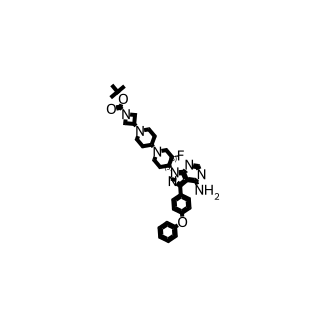 CC(C)(C)OC(=O)N1CC(N2CCC(N3CC[C@H](n4nc(-c5ccc(Oc6ccccc6)cc5)c5c(N)ncnc54)[C@@H](F)C3)CC2)C1